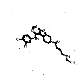 CCNC/C=C/C(=O)N1CCc2c(sc3ncnc(Nc4ccc(Cl)c(Cl)c4)c23)C1